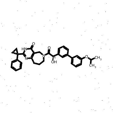 CC(C)Oc1cccc(-c2cccc([C@@H](O)C(=O)N3CCCc4nc(C5(c6ccccc6)CC5)[nH]c(=O)c4C3)c2)c1